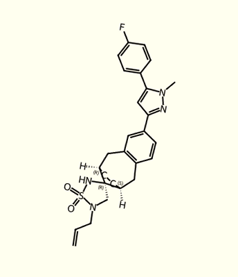 C=CCN1C[C@]2(NS1(=O)=O)[C@@H]1CC[C@H]2Cc2ccc(-c3cc(-c4ccc(F)cc4)n(C)n3)cc2C1